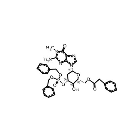 Cn1c(N)nc2c(ncn2[C@H]2C[C@@H](OP(=O)(OCc3ccccc3)OCc3ccccc3)[C@H](O)[C@@H](COC(=O)Cc3ccccc3)O2)c1=O